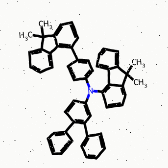 CC1(C)c2ccccc2-c2c(-c3ccc(N(c4ccc(-c5ccccc5)c(-c5ccccc5)c4)c4cccc5c4-c4ccccc4C5(C)C)cc3)cccc21